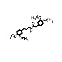 COc1ccc(CCCNC(=O)Cc2ccc(OC)c(OC)c2)cc1OC